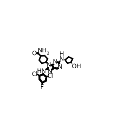 NC(=O)C1CCC(n2c(Nc3c(Cl)cc(F)cc3Cl)nc3cnc(N[C@@H]4CC[C@@H](O)C4)nc32)CC1